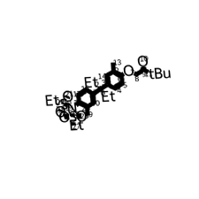 CCC(CC)(c1ccc(OCC(=O)C(C)(C)C)c(C)c1)c1ccc(N(S(=O)(=O)CC)S(=O)(=O)CC)c(C)c1